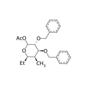 CC[C@H]1OC(OC(C)=O)[C@H](OCc2ccccc2)[C@@H](OCc2ccccc2)[C@H]1C